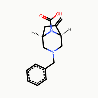 C=C1C[C@@H]2CN(Cc3ccccc3)C[C@H]1N2C(=O)O